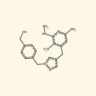 NNc1nc(N)cc(Cc2cnn(Cc3ccc(CO)cc3)c2)c1N